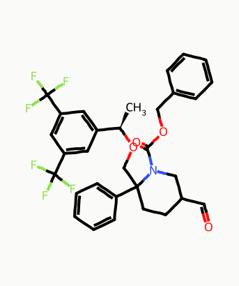 C[C@@H](OCC1(c2ccccc2)CCC(C=O)CN1C(=O)OCc1ccccc1)c1cc(C(F)(F)F)cc(C(F)(F)F)c1